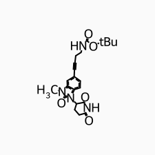 Cn1c(=O)n(C2CCC(=O)NC2=O)c2ccc(C#CCCNC(=O)OC(C)(C)C)cc21